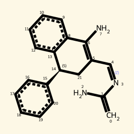 C=C(N)/N=C\C1=C(N)c2ccccc2[C@H](c2ccccc2)C1